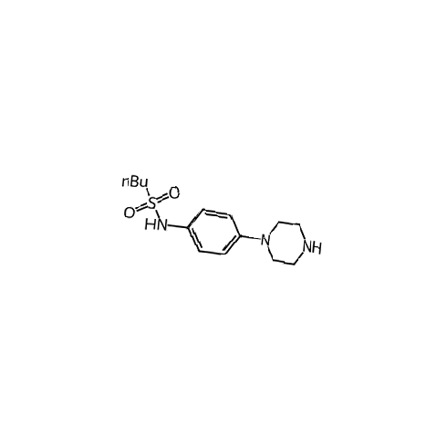 CCCCS(=O)(=O)Nc1ccc(N2CCNCC2)cc1